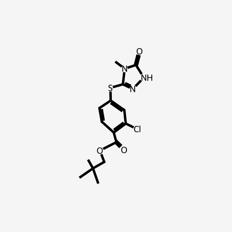 Cn1c(Sc2ccc(C(=O)OCC(C)(C)C)c(Cl)c2)n[nH]c1=O